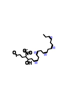 CC/C=C\C/C=C\C/C=C\C/C=C\C/C=C\CC(O)C(CC[C]=O)[N+](=O)[O-]